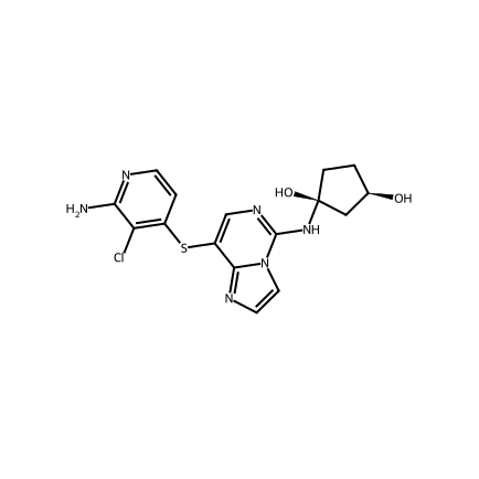 Nc1nccc(Sc2cnc(N[C@]3(O)CC[C@@H](O)C3)n3ccnc23)c1Cl